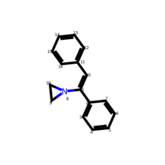 C(=C(c1ccccc1)N1CC1)c1ccccc1